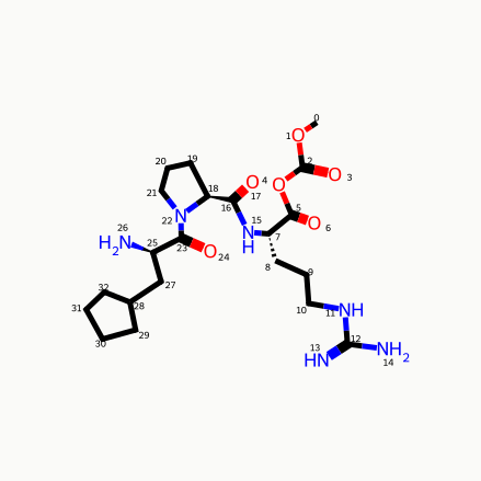 COC(=O)OC(=O)[C@H](CCCNC(=N)N)NC(=O)[C@@H]1CCCN1C(=O)[C@H](N)CC1CCCC1